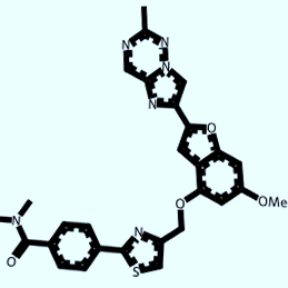 COc1cc(OCc2csc(-c3ccc(C(=O)N(C)C)cc3)n2)c2cc(-c3cn4nc(C)ncc4n3)oc2c1